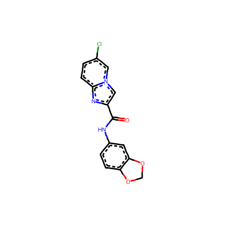 O=C(Nc1ccc2c(c1)OCO2)c1cn2cc(Cl)ccc2n1